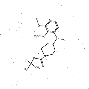 COc1cccc([C@H](O)C2CCN(C(=O)OC(C)(C)C)CC2)c1OC